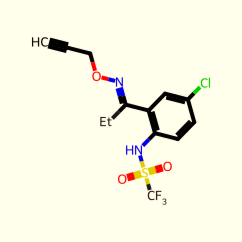 C#CCO/N=C(\CC)c1cc(Cl)ccc1NS(=O)(=O)C(F)(F)F